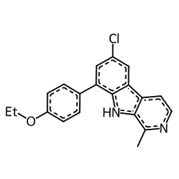 CCOc1ccc(-c2cc(Cl)cc3c2[nH]c2c(C)nccc23)cc1